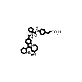 O=C(O)/C=C/c1ccc(NC(=O)C2(NC(=O)c3ccc4c(C5CCCCC5)c5n(c4c3)CCCc3nc[nH]c3-5)CCCC2)cc1